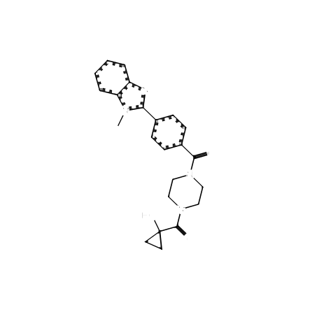 Cn1c(-c2ccc(C(=O)N3CCN(C(=O)C4(O)CC4)CC3)cc2)nc2ccccc21